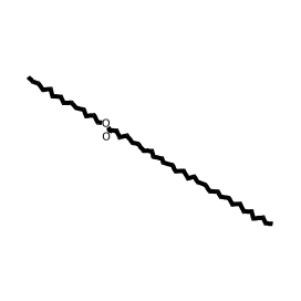 CCCCCCCCCCCCCCCCCCCCCCCCCCCCCC(=O)OCCCCCCCCCCCCCC